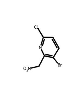 O=[N+]([O-])Cc1nc(Cl)ccc1Br